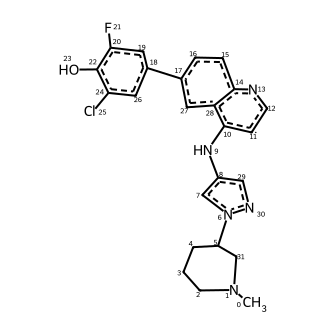 CN1CCCC(n2cc(Nc3[c]cnc4ccc(-c5cc(F)c(O)c(Cl)c5)cc34)cn2)C1